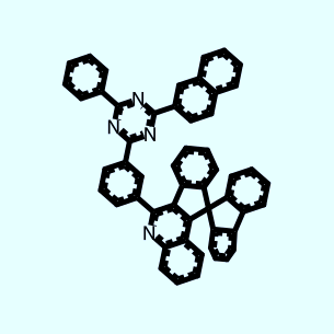 c1ccc(-c2nc(-c3cccc(-c4nc5ccccc5c5c4-c4ccccc4C54c5ccccc5-c5ccccc54)c3)nc(-c3ccc4ccccc4c3)n2)cc1